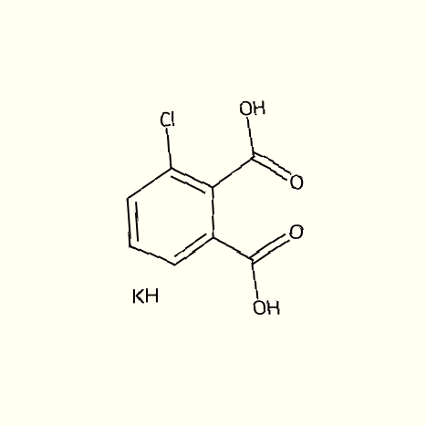 O=C(O)c1cccc(Cl)c1C(=O)O.[KH]